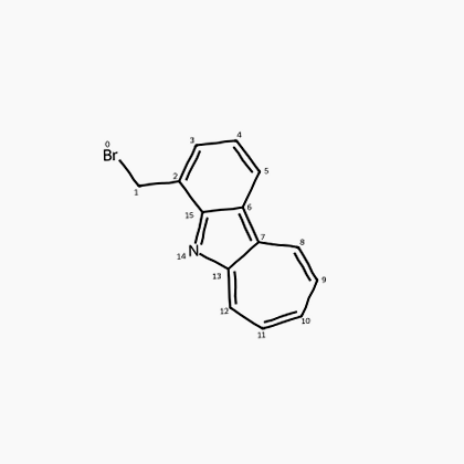 BrCc1cccc2c3cccccc-3nc12